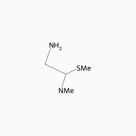 CNC(CN)SC